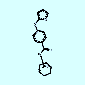 O=C(NC1CC2CCN(CC2)C1)c1ccc(Sc2ccco2)cc1